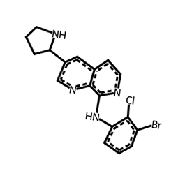 Clc1c(Br)cccc1Nc1nccc2cc(C3CCCN3)cnc12